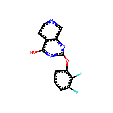 Oc1nc(Oc2cccc(F)c2F)nc2cnccc12